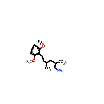 CC(CCc1c(OC(F)(F)F)cccc1OC(F)(F)F)CC(CN)C(=O)O